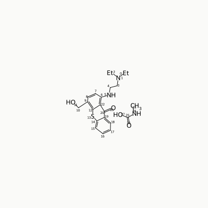 CCN(CC)CCNc1ccc(CO)c2sc3ccccc3c(=O)c12.CNC(=O)O